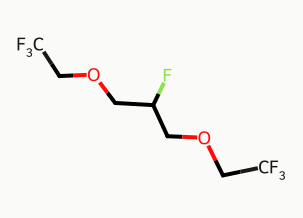 FC(COCC(F)(F)F)COCC(F)(F)F